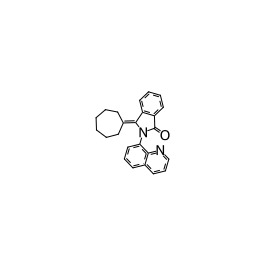 O=C1c2ccccc2C(=C2CCCCCC2)N1c1cccc2cccnc12